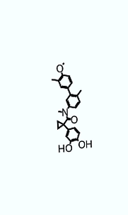 COc1ccc(-c2cc(N(C)C(=O)C3(c4ccc(O)c(O)c4)CC3)ccc2C)cc1C